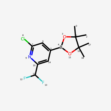 CC1(C)OB(c2cc(Cl)nc(C(F)F)c2)OC1(C)C